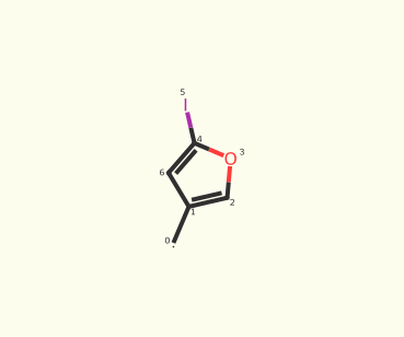 [CH2]c1coc(I)c1